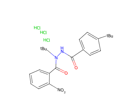 CC(C)(C)c1ccc(C(=O)NN(C(=O)c2ccccc2[N+](=O)[O-])C(C)(C)C)cc1.Cl.Cl.Cl